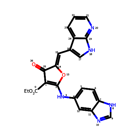 CCOC(=O)C1=C(Nc2ccc3[nH]cnc3c2)OC(=Cc2c[nH]c3ncccc23)C1=O